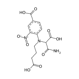 NC(=O)C(C(=O)O)N(CCCC(=O)O)c1ccc(C(=O)O)cc1[N+](=O)[O-]